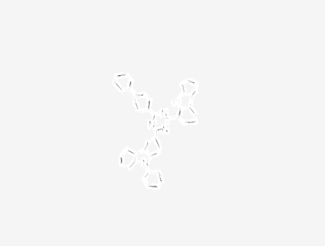 c1ccc(-c2ccc(-c3nc(-c4ccc5c(c4)c4ccccc4n5-c4ccccc4)nc(-c4cccc5c4oc4ccccc45)n3)cc2)cc1